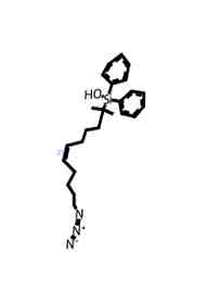 CC(C)(CCC/C=C\CCCCN=[N+]=[N-])[Si](O)(c1ccccc1)c1ccccc1